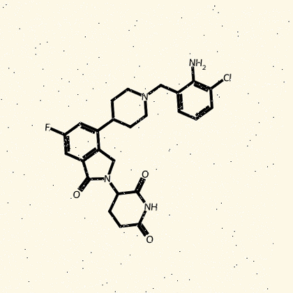 Nc1c(Cl)cccc1CN1CCC(c2cc(F)cc3c2CN(C2CCC(=O)NC2=O)C3=O)CC1